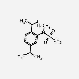 CC(C)c1ccc(C(C)C)c(N(C)S(C)(=O)=O)c1